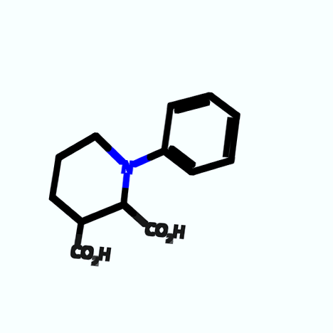 O=C(O)C1CCCN(c2ccccc2)C1C(=O)O